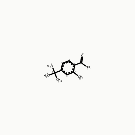 CSC(C)(C)c1ccc(C(N)=O)c(C)c1